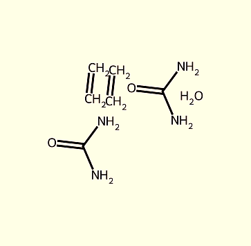 C=C.C=C.NC(N)=O.NC(N)=O.O